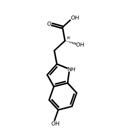 O=C(O)[C@H](O)Cc1cc2cc(O)ccc2[nH]1